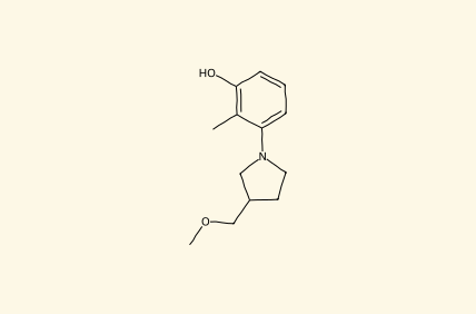 COCC1CCN(c2cccc(O)c2C)C1